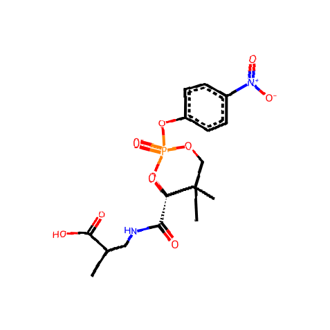 CC(CNC(=O)[C@@H]1OP(=O)(Oc2ccc([N+](=O)[O-])cc2)OCC1(C)C)C(=O)O